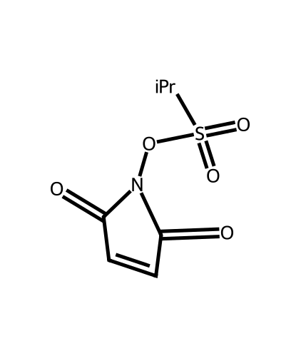 CC(C)S(=O)(=O)ON1C(=O)C=CC1=O